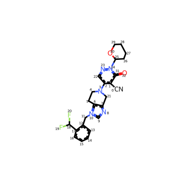 N#Cc1c(N2CCc3c(ncn3Cc3ccccc3C(F)F)C2)cnn(C2CCCCO2)c1=O